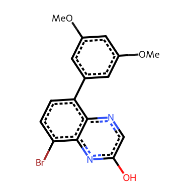 COc1cc(OC)cc(-c2ccc(Br)c3nc(O)cnc23)c1